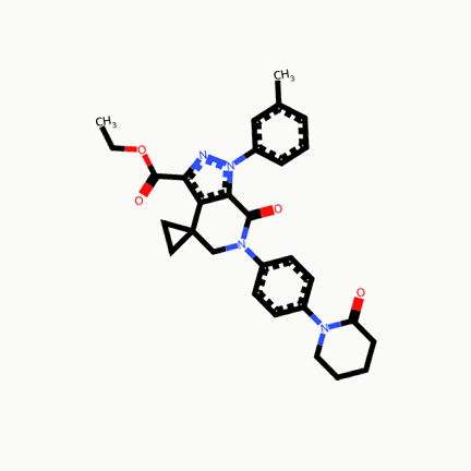 CCOC(=O)c1nn(-c2cccc(C)c2)c2c1C1(CC1)CN(c1ccc(N3CCCCC3=O)cc1)C2=O